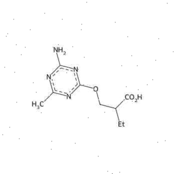 CCC(COc1nc(C)nc(N)n1)C(=O)O